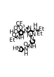 CCC(=O)N[C@H]1C[C@@H](n2cnc3c(NC(CC)CC)nc(N4CC[C@@H](NC(=O)N[C@@H]5CCNC5)C4)nc32)[C@H](OC(=O)C(F)(F)F)[C@@H]1O